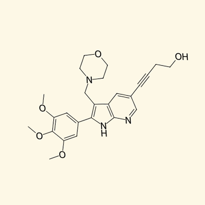 COc1cc(-c2[nH]c3ncc(C#CCCO)cc3c2CN2CCOCC2)cc(OC)c1OC